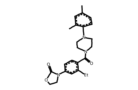 CCc1cc(N2CCOC2=O)ccc1C(=O)N1CCN(c2ccc(C)cc2C)CC1